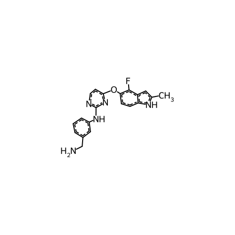 Cc1cc2c(F)c(Oc3ccnc(Nc4cccc(CN)c4)n3)ccc2[nH]1